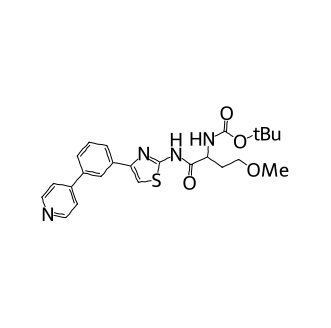 COCCC(NC(=O)OC(C)(C)C)C(=O)Nc1nc(-c2cccc(-c3ccncc3)c2)cs1